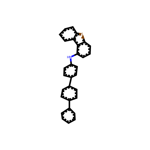 c1ccc(-c2ccc(-c3ccc(Nc4cccc5sc6ccccc6c45)cc3)cc2)cc1